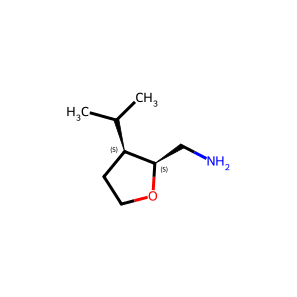 CC(C)[C@@H]1CCO[C@@H]1CN